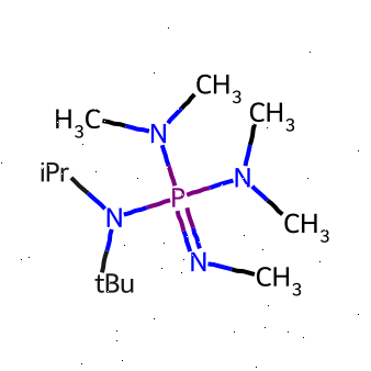 CN=P(N(C)C)(N(C)C)N(C(C)C)C(C)(C)C